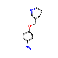 Nc1ccc(OCc2cccnc2)cc1